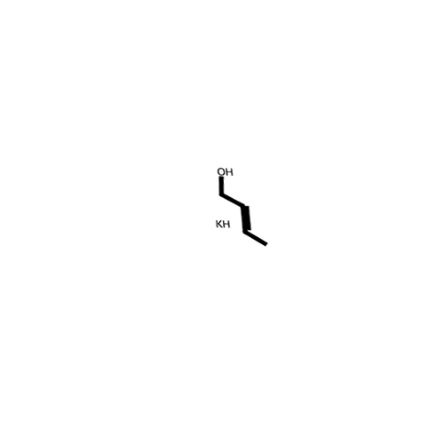 CC=CCO.[KH]